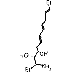 CC/C=C/C/C=C/C=C/C[C@@H](O)[C@@H](O)[C@@H](N)CC